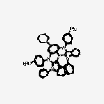 CC(C)(C)c1ccc(N2c3cc(C4CCCCC4)cc4c3B(c3c(n(-c5ccccc5)c5ccccc35)N4c3ccc(C(C)(C)C)cc3)c3c2c2ccccc2n3-c2ccccc2)cc1